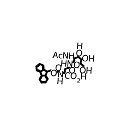 CC(=O)N[C@H]1C(O)[C@H](O)C(CO)O[C@H]1NC(=O)C[C@H](NC(=O)OCC1c2ccccc2-c2ccccc21)C(=O)O